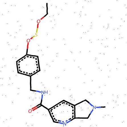 CCOSOc1ccc(CNC(=O)c2cnc3c(c2)CN(C)C3)cc1